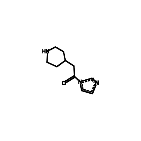 O=C(CC1CCNCC1)n1[c]ncc1